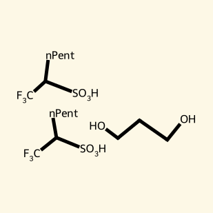 CCCCCC(C(F)(F)F)S(=O)(=O)O.CCCCCC(C(F)(F)F)S(=O)(=O)O.OCCCO